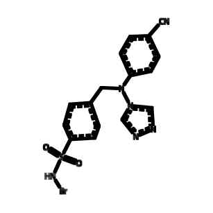 N#Cc1ccc(N(Cc2ccc(S(=O)(=O)NBr)cc2)n2cnnc2)cc1